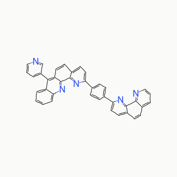 c1cncc(-c2c3ccccc3nc3c2ccc2ccc(-c4ccc(-c5ccc6ccc7cccnc7c6n5)cc4)nc23)c1